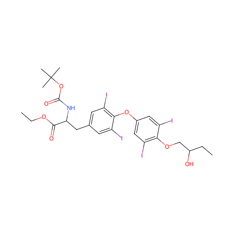 CCOC(=O)C(Cc1cc(I)c(Oc2cc(I)c(OCC(O)CC)c(I)c2)c(I)c1)NC(=O)OC(C)(C)C